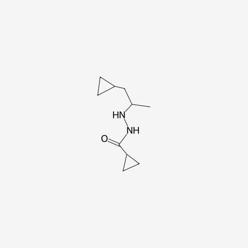 CC(CC1CC1)NNC(=O)C1CC1